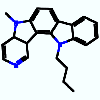 CCCCn1c2ccccc2c2ccc3c(c21)C1C=NC=CC1N3C